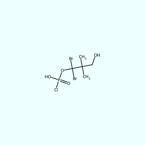 CC(C)(CO)C(Br)(Br)OP(=O)(O)Cl